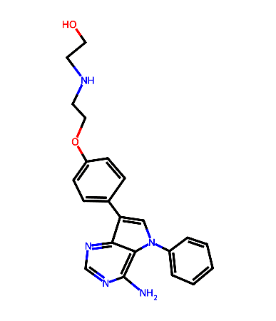 Nc1ncnc2c(-c3ccc(OCCNCCO)cc3)cn(-c3ccccc3)c12